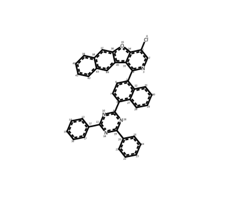 Clc1cnc(-c2ccc(-c3nc(-c4ccccc4)nc(-c4ccccc4)n3)c3ccccc23)c2c1oc1cc3ccccc3cc12